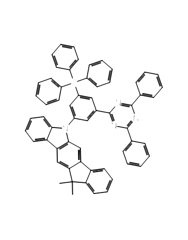 CC1(C)c2ccccc2-c2cc3c(cc21)c1ccccc1n3-c1cc(-c2nc(-c3ccccc3)nc(-c3ccccc3)n2)cc(S(c2ccccc2)(c2ccccc2)c2ccccc2)c1